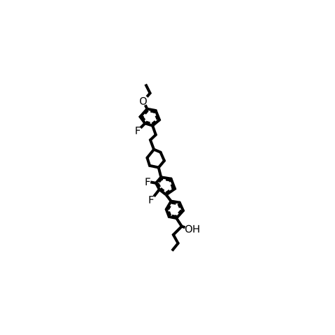 CCCC(O)c1ccc(-c2ccc(C3CCC(CCc4ccc(OCC)cc4F)CC3)c(F)c2F)cc1